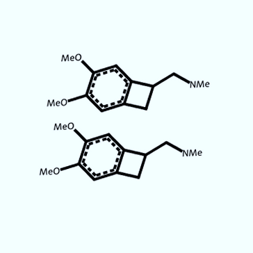 CNCC1Cc2cc(OC)c(OC)cc21.CNCC1Cc2cc(OC)c(OC)cc21